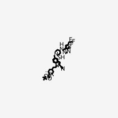 C[C@@H]1CC(CCn2c(C#N)cc3c(S)c(CN4CCC(Nc5ncnc6sc(CC(F)(F)F)cc56)CC4)ccc32)C[C@@H](C)N1C(=O)OC(C)(C)C